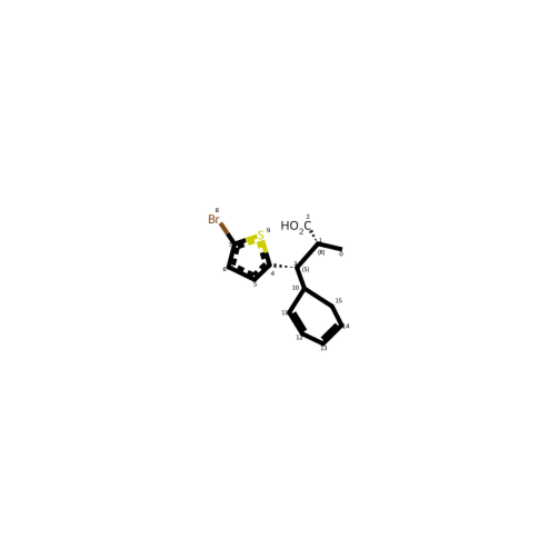 C[C@@H](C(=O)O)[C@@H](c1ccc(Br)s1)C1C=CC=CC1